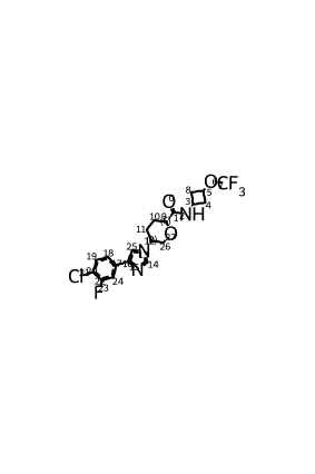 O=C(N[C@H]1C[C@H](OC(F)(F)F)C1)[C@@H]1CC[C@@H](n2cnc(-c3ccc(Cl)c(F)c3)c2)CO1